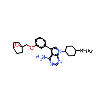 CC(=O)NC1CCC(n2cc(-c3cccc(OCC45CCC(CC4)O5)c3)c3c(N)ncnc32)CC1